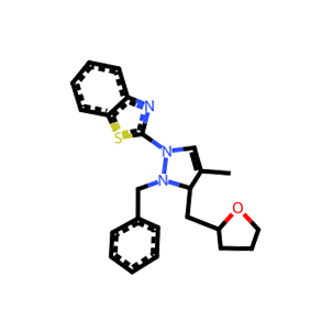 CC1=CN(c2nc3ccccc3s2)N(Cc2ccccc2)C1CC1CCCO1